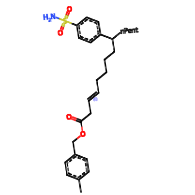 CCCCCC(CCCC/C=C/CC(=O)OCc1ccc(C)cc1)c1ccc(S(N)(=O)=O)cc1